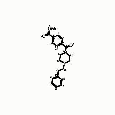 COC(=O)c1ccc(C(=O)N2CCN(CCc3ccccc3)CC2)nc1